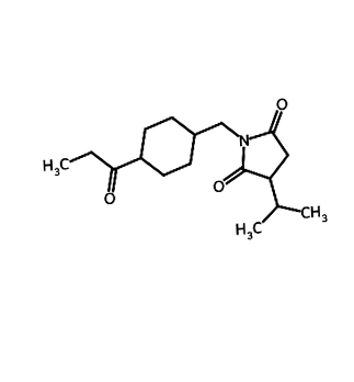 CCC(=O)C1CCC(CN2C(=O)CC(C(C)C)C2=O)CC1